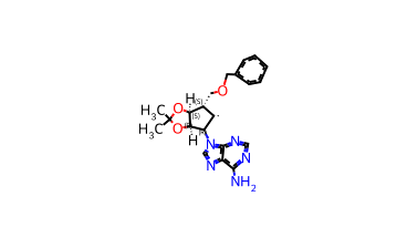 CC1(C)O[C@@H]2[C@H](O1)[C@H](n1cnc3c(N)ncnc31)[CH][C@H]2COCc1ccccc1